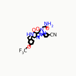 N#Cc1ccc(-n2nc3c(c2C(=O)NCC(N)=O)C(=O)N[C@@]2(CCc4cc(OCC(F)(F)F)ccc42)C3)nc1